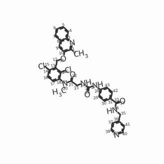 Cc1nc2ccccc2cc1OCc1c(Cl)ccc(N(C)C(=O)CNC(=O)Nc2ccc(C(=O)NCc3ccncc3)cc2)c1Cl